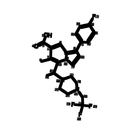 Cc1c(C(=O)O)cc2c(-c3ccc(F)cc3)ccn2c1C(C)N1CCN(CC(F)(F)F)CC1